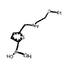 CCOCCNCc1ccc(B(O)O)s1